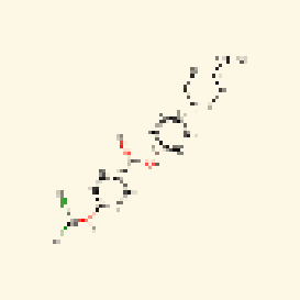 CCCCCC[C@H]1CC[C@H](c2ccc(OC(=O)c3ccc(OC(F)F)cc3)cc2)CC1